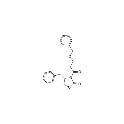 O=C(CCOCc1ccccc1)N1C(=O)OCC1Cc1ccccc1